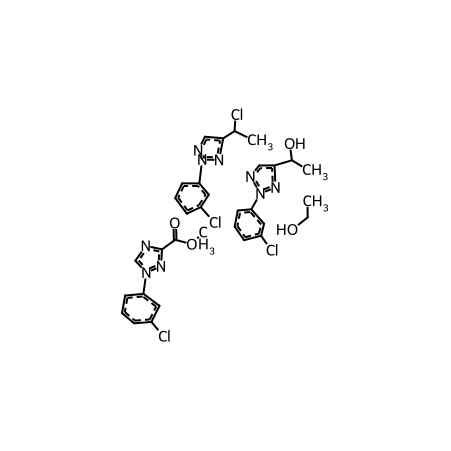 CC(Cl)c1cnn(-c2cccc(Cl)c2)n1.CC(O)c1cnn(-c2cccc(Cl)c2)n1.CCO.COC(=O)c1ncn(-c2cccc(Cl)c2)n1